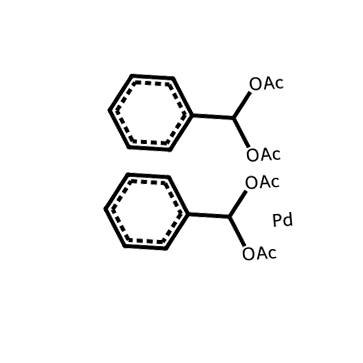 CC(=O)OC(OC(C)=O)c1ccccc1.CC(=O)OC(OC(C)=O)c1ccccc1.[Pd]